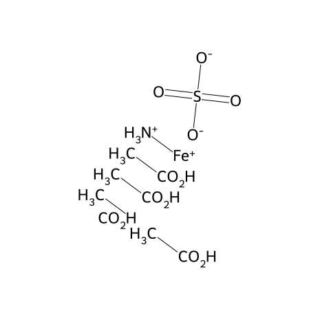 CC(=O)O.CC(=O)O.CC(=O)O.CC(=O)O.O=S(=O)([O-])[O-].[NH3+][Fe+]